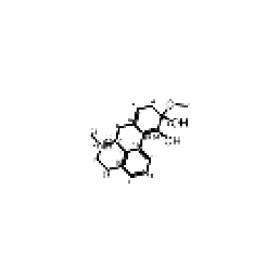 COC1(O)CC=C2C[C@@H]3c4c(cccc4C2=C1O)CCN3C